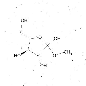 COC1(O)O[C@@H](CO)[C@H](O)[C@H]1O